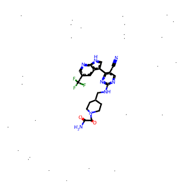 N#Cc1cnc(NCC2CCN(C(=O)C(N)=O)CC2)nc1-c1c[nH]c2ncc(C(F)(F)F)cc12